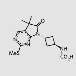 CSc1ncc2c(n1)N([C@H]1C[C@H](NC(=O)O)C1)C(=O)C2(C)C